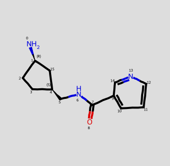 N[C@@H]1CC[C@H](CNC(=O)c2cccnc2)C1